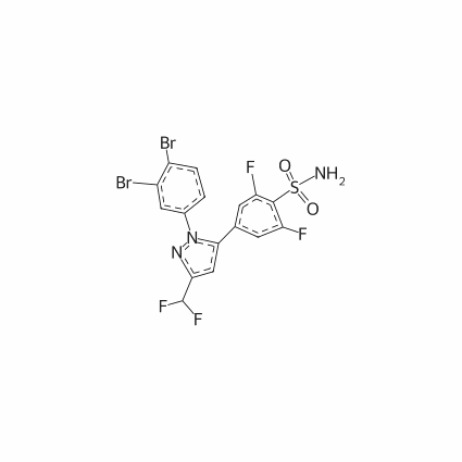 NS(=O)(=O)c1c(F)cc(-c2cc(C(F)F)nn2-c2ccc(Br)c(Br)c2)cc1F